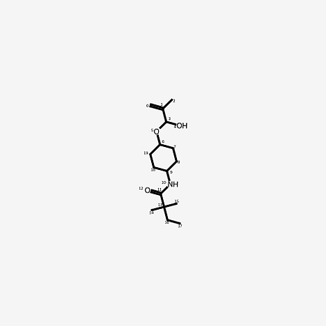 C=C(C)C(O)OC1CCC(NC(=O)C(C)(C)CC)CC1